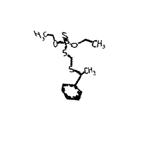 CCOP(=S)(OCC)SCSC(C)c1ccccc1